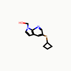 OCn1ccc2cc(SC3CCC3)cnc21